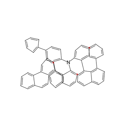 c1ccc(-c2ccc(N(c3ccccc3-c3cccc4c3ccc3ccccc34)c3ccccc3-c3cccc4cccc(-c5ccccc5)c34)c(-c3ccccc3)c2)cc1